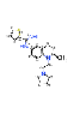 C=C1CCc2cc(NC(=N)c3cccs3)ccc2N1CCN1CCCC1